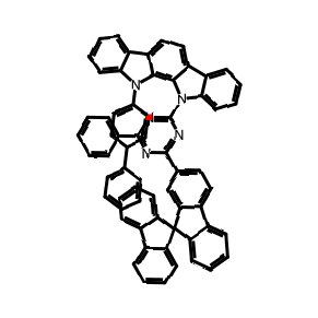 C1=CC(c2ccccc2)CC=C1n1c2ccccc2c2ccc3c4ccccc4n(-c4nc(-c5ccccc5)nc(-c5ccc6c(c5)C5(c7ccccc7-c7ccccc75)c5ccccc5-6)n4)c3c21